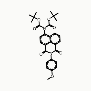 COc1ccc(N2C(=O)c3cccc4c(N(C(=O)OC(C)(C)C)C(=O)OC(C)(C)C)ccc(c34)C2=O)cc1